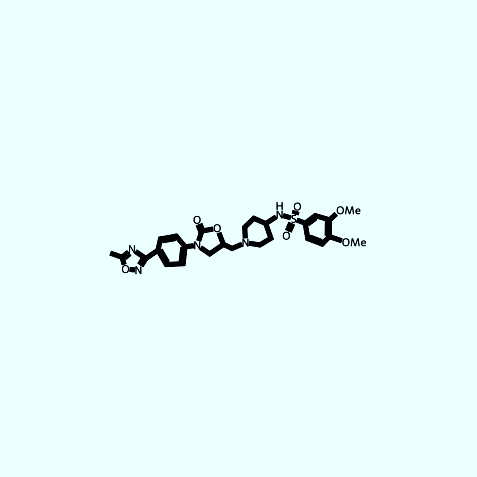 COc1ccc(S(=O)(=O)NC2CCN(CC3CN(c4ccc(-c5noc(C)n5)cc4)C(=O)O3)CC2)cc1OC